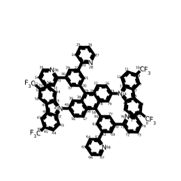 FC(F)(F)c1ccc2c(c1)c1cc(C(F)(F)F)ccc1n2-c1ccc2c(-c3cc(-c4ccccn4)cc(-c4ccccn4)c3)c3cc(-n4c5ccc(C(F)(F)F)cc5c5cc(C(F)(F)F)ccc54)ccc3c(-c3cc(-c4ccccn4)cc(-c4ccccn4)c3)c2c1